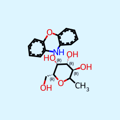 CC1O[C@H](CO)[C@H](O)[C@H](O)[C@H]1O.c1ccc2c(c1)Nc1ccccc1O2